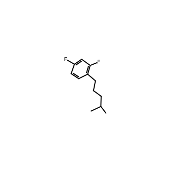 CC(C)CCCc1ccc(F)cc1F